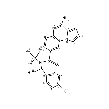 [2H]C([2H])([2H])N(C(=O)c1cc2c(cn1)nc(N)c1cncn12)C(C)c1ccc(C(F)(F)F)cn1